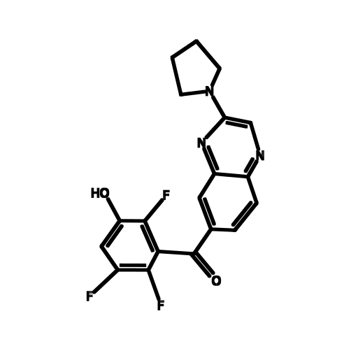 O=C(c1ccc2ncc(N3CCCC3)nc2c1)c1c(F)c(O)cc(F)c1F